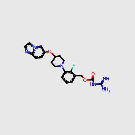 N=C(N)NC(=O)OCc1cccc(N2CCC(Oc3ccc4nccn4c3)CC2)c1F